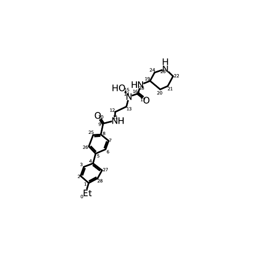 CCc1ccc(-c2ccc(C(=O)NCCN(O)C(=O)NC3CCCNC3)cc2)cc1